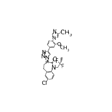 COc1cc(-c2cn([C@@H]3CCc4cc(Cl)ccc4N(CC(F)(F)F)C3=O)nn2)ccc1-n1cnc(C)c1